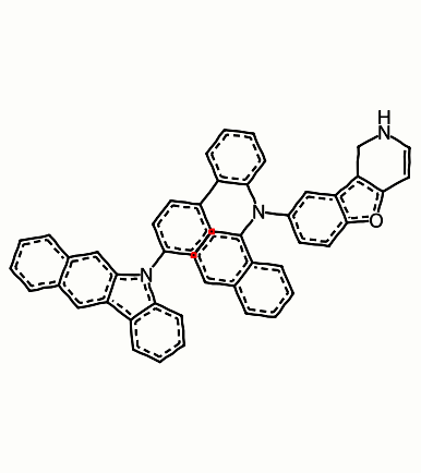 C1=Cc2oc3ccc(N(c4ccccc4-c4ccc(-n5c6ccccc6c6cc7ccccc7cc65)cc4)c4cccc5ccccc45)cc3c2CN1